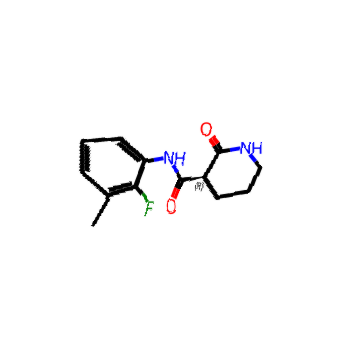 Cc1cccc(NC(=O)[C@@H]2CCCNC2=O)c1F